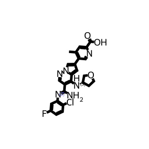 Cc1cc(C(=O)O)ncc1-c1cc2c(N[C@H]3CCOC3)c(/C(N)=N/c3cc(F)ccc3Cl)cnn2c1